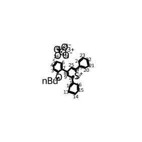 CCCCOc1ccccc1-c1cc(-c2ccccc2)[s+]c(-c2ccccc2)c1.[O-][Cl+3]([O-])([O-])[O-]